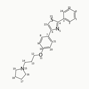 c1ccc(-c2nc(-c3ccc(OCCCN4CCCC4)cc3)cs2)cc1